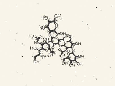 CC(=O)NC1C(OC2C(CO)OC(OC3C(CO)OC(C)C(O)C3O)C(O)C2O[C@]2(C(=O)O)C[C@@H](O)C(NC(C)=O)C([C@H](O)[C@H](O)CO)O2)OC(CO)C(O)C1OC1OC(CO)C(O)C(O)C1O